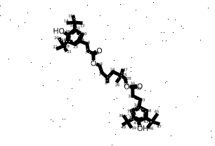 CC(CCOC(=O)CCc1cc(C(C)(C)C)c(O)c(C(C)(C)C)c1)CC(C)(C)COC(=O)CCc1cc(C(C)(C)C)c(O)c(C(C)(C)C)c1